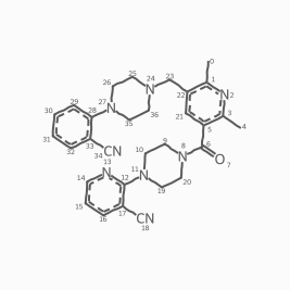 Cc1nc(C)c(C(=O)N2CCN(c3ncccc3C#N)CC2)cc1CN1CCN(c2ccccc2C#N)CC1